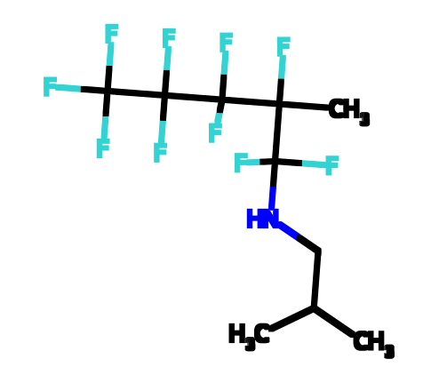 CC(C)CNC(F)(F)C(C)(F)C(F)(F)C(F)(F)C(F)(F)F